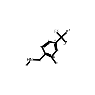 CNCc1ccc(C(F)(F)F)cc1C